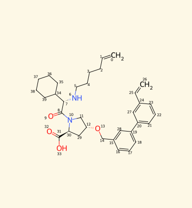 C=CCCCCN[C@H](C(=O)N1C[C@H](OCc2cccc(-c3cccc(C=C)c3)c2)C[C@H]1C(=O)O)C1CCCCC1